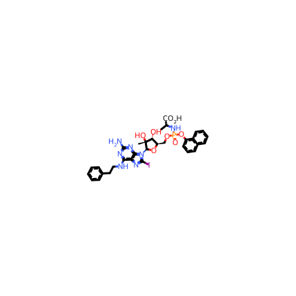 CC(NP(=O)(OC[C@H]1O[C@@H](n2c(I)nc3c(NCCc4ccccc4)nc(N)nc32)[C@](C)(O)[C@@H]1O)Oc1cccc2ccccc12)C(=O)O